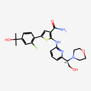 CC(C)(O)c1ccc(-c2cc(C(N)=O)c(Nc3cccc([C@H](CO)N4CCOCC4)n3)s2)c(F)c1